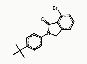 CC(C)(C)c1ccc(N2Cc3cccc(Br)c3C2=O)cc1